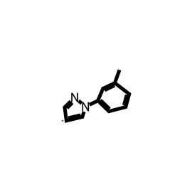 Cc1cccc(-n2c[c]cn2)c1